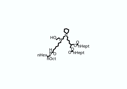 CCCCCCCCC(CCCCCC)CNC(=O)CCCCCCN(CCO)CCN(CCCCC(COC(=O)CCCCCCC)COC(=O)CCCCCCC)C1CCCCC1